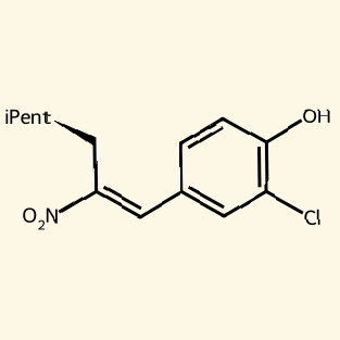 CCC[C@H](C)C/C(=C\c1ccc(O)c(Cl)c1)[N+](=O)[O-]